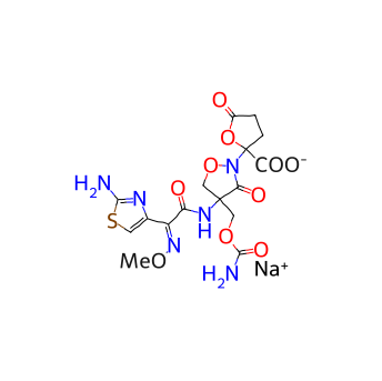 CON=C(C(=O)NC1(COC(N)=O)CON(C2(C(=O)[O-])CCC(=O)O2)C1=O)c1csc(N)n1.[Na+]